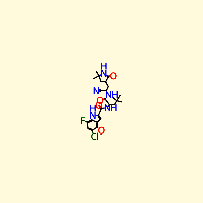 COc1c(Cl)cc(F)c2[nH]c(C(=O)NC(CC(C)(C)C)C(=O)NC(C#N)CC3CC(C)(C)NC3=O)cc12